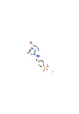 Cc1cn2c(Br)cnc2c(NCc2ccc(S(N)(=O)=O)cc2)n1